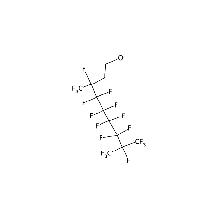 [O]CCC(F)(C(F)(F)F)C(F)(F)C(F)(F)C(F)(F)C(F)(F)C(F)(C(F)(F)F)C(F)(F)F